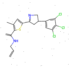 C=CCNC(=C)c1sc(C2=NCC(c3cc(Cl)c(Cl)c(Cl)c3)C2)cc1C